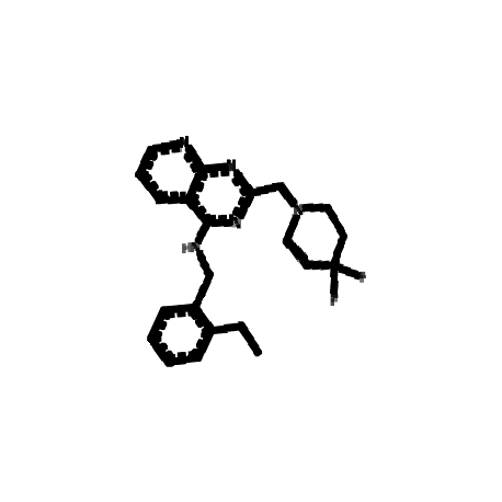 CCc1ccccc1CNc1nc(CN2CCC(F)(F)CC2)nc2ncccc12